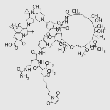 CO[C@H]1/C=C/O[C@@]2(C)Oc3c(C)c(O)c4c(=O)c(c5oc6cc(N7CCC(N(C)C8([C@H]9CCN(c%10c(F)cn%11c(=O)c(C(=O)O)cc(C%12CC%12)c%11c%10C)C9)CC8)CC7)cc(OCc7ccc(NC(=O)[C@H](CCCNC(N)=O)NC(=O)[C@@H](CC(=O)CCCCCN8C(=O)C=CC8=O)C(C)C)cc7)c6nc-5c4c3C2=O)NC(=O)/C(C)=C\C=C\[C@H](C)[C@H](O)[C@@H](C)[C@@H](O)[C@@H](C)[C@H](OC(C)=O)[C@@H]1C